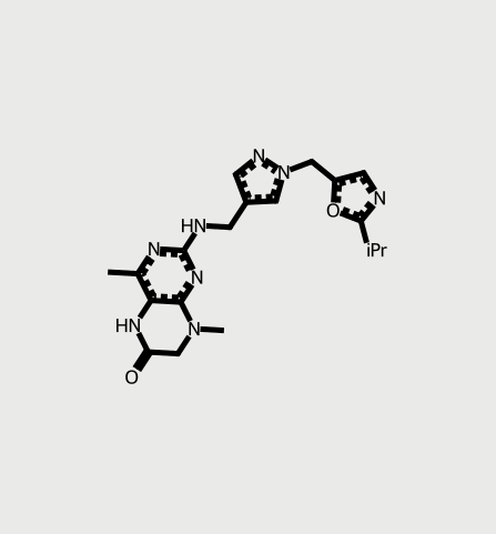 Cc1nc(NCc2cnn(Cc3cnc(C(C)C)o3)c2)nc2c1NC(=O)CN2C